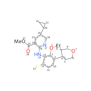 CCOc1c(C2=CCOCC2)ccc(F)c1Nc1ncc(C2CC2)cc1C(=O)OC